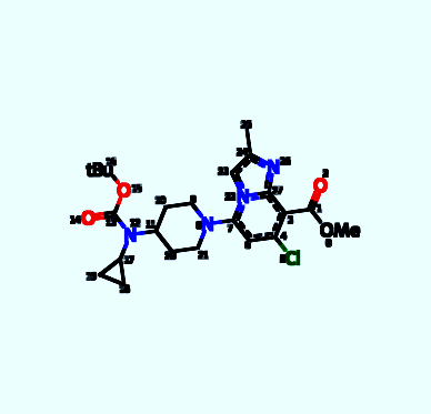 COC(=O)c1c(Cl)cc(N2CCC(N(C(=O)OC(C)(C)C)C3CC3)CC2)n2cc(C)nc12